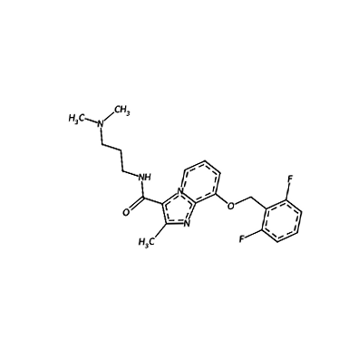 Cc1nc2c(OCc3c(F)cccc3F)cccn2c1C(=O)NCCCN(C)C